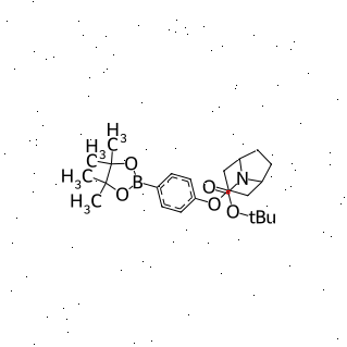 CC(C)(C)OC(=O)N1C2CCC1CC(Oc1ccc(B3OC(C)(C)C(C)(C)O3)cc1)C2